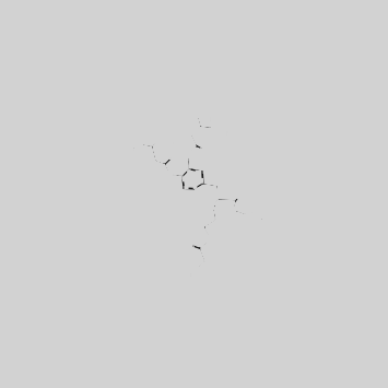 CCC(=O)OCCN[C@@H](Cc1ccc(OC(=O)CC(C)C)c(OC(=O)CC(C)C)c1)C(=O)OC